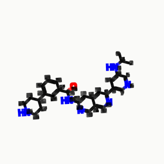 CC(C)Nc1cncc(-c2cc3cc(NC(=O)c4cccc(C5CCNCC5)c4)ncc3cn2)c1